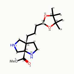 COC(=O)[C@@]12CNC[C@]1(CCCB1OC(C)(C)C(C)(C)O1)CCN2